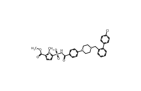 COC(=O)c1ccc(S(=O)(=O)NC(=O)c2ccc(N3CCN(Cc4ccccc4-c4ccc(Cl)cc4)CC3)cc2)n1C